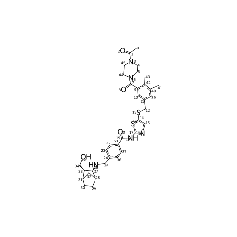 CC(=O)N1CCN(C(=O)c2cc(CSc3cnc(NC(=O)c4ccc(CN[C@H]5C6CCC(C6)[C@H]5CO)cc4)s3)cc(C)c2C)CC1